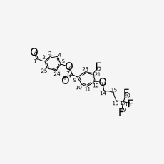 O=Cc1ccc(OC(=O)c2ccc(OCCCC(F)(F)F)c(F)c2)cc1